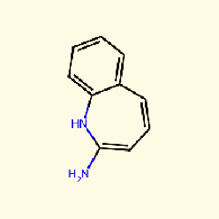 NC1=CC=Cc2ccccc2N1